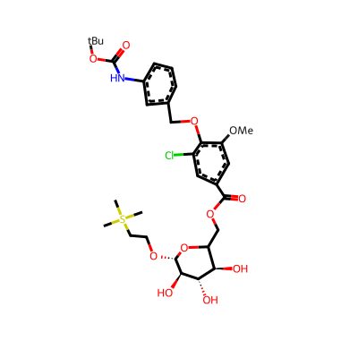 COc1cc(C(=O)OCC2O[C@@H](OCCS(C)(C)C)[C@H](O)[C@@H](O)[C@@H]2O)cc(Cl)c1OCc1cccc(NC(=O)OC(C)(C)C)c1